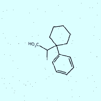 CC(C(=O)O)C1(c2cc[c]cc2)CCCCC1